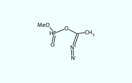 CO[PH](=O)OC(C)=[N+]=[N-]